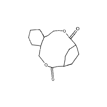 O=C1OCC2CCCCC2COC(=O)C2CCC1CC2